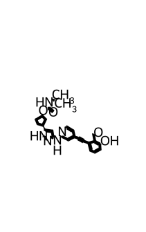 CC(C)NC(=O)O[C@@H]1CC[C@H](c2cc(Nc3cc(C#Cc4cccc(O)c4C=O)ccn3)n[nH]2)C1